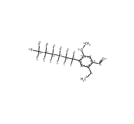 CCc1cc(C(F)(F)C(F)(F)C(F)(F)C(F)(F)C(F)(F)C(F)(F)F)c(OC)cc1C=O